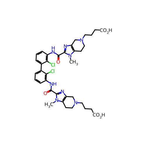 Cn1c(C(=O)Nc2cccc(-c3cccc(NC(=O)c4nc5c(n4C)CCN(CCCC(=O)O)C5)c3Cl)c2Cl)nc2c1CCN(CCCC(=O)O)C2